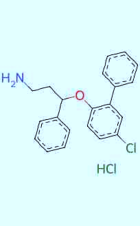 Cl.NCCC(Oc1ccc(Cl)cc1-c1ccccc1)c1ccccc1